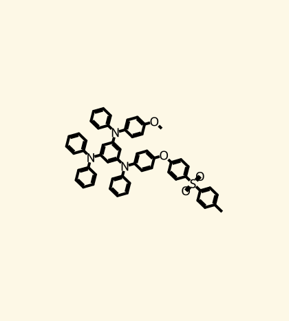 COc1ccc(N(c2ccccc2)c2cc(N(c3ccccc3)c3ccccc3)cc(N(c3ccccc3)c3ccc(Oc4ccc(S(=O)(=O)c5ccc(C)cc5)cc4)cc3)c2)cc1